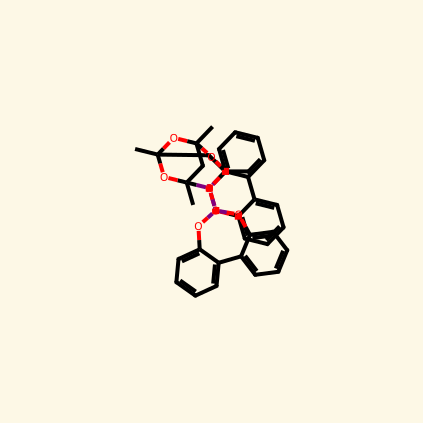 CC12CC3(C)OC(C)(CC(C)(O1)P3Oc1ccccc1-c1ccccc1Op1oc3ccccc3c3ccccc3o1)O2